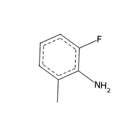 Cc1cccc(F)c1N